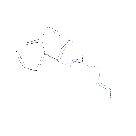 C/C=N/Oc1nc2c(ccc3ccccc32)s1